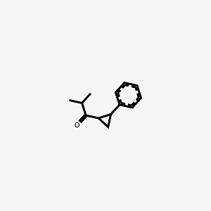 CC(C)C(=O)C1CC1c1ccccc1